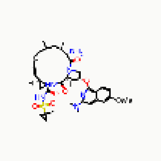 COc1ccc2c(O[C@@H]3C[C@H]4C(=O)N[C@]5(C(=O)NS(=O)(=O)C6(C)CC6)C[C@H]5C=CCCC(C)C[C@@H](C)[C@H](N)C(=O)N4C3)nc(N(C)C)cc2c1